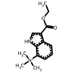 CCOC(=O)c1c[nH]c2c([N+](C)(C)C)cccc12